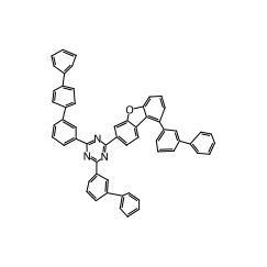 c1ccc(-c2ccc(-c3cccc(-c4nc(-c5cccc(-c6ccccc6)c5)nc(-c5ccc6c(c5)oc5cccc(-c7cccc(-c8ccccc8)c7)c56)n4)c3)cc2)cc1